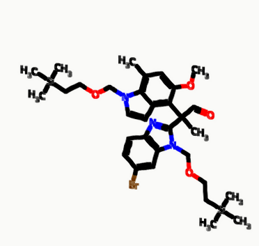 COc1cc(C)c2c(ccn2COCC[Si](C)(C)C)c1C(C)(C=O)c1nc2ccc(Br)cc2n1COCC[Si](C)(C)C